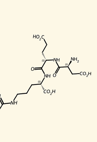 N=C(N)NCCC[C@H](NC(=O)[C@H](CCC(=O)O)NC(=O)[C@@H](N)CC(=O)O)C(=O)O